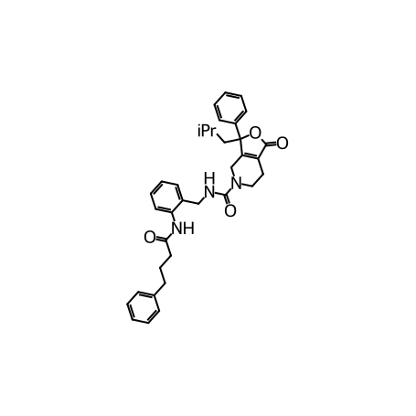 CC(C)CC1(c2ccccc2)OC(=O)C2=C1CN(C(=O)NCc1ccccc1NC(=O)CCCc1ccccc1)CC2